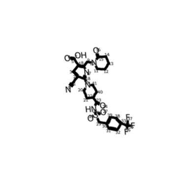 N#Cc1cc(C(=O)O)c(CN2CCCCC2=O)nc1N1CCC(C(=O)NS(=O)(=O)Cc2ccc(C(F)(F)F)cc2)CC1